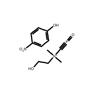 C[N+](C)(C#P=O)CCO.O=[N+]([O-])c1ccc(O)cc1